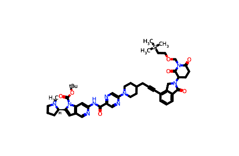 CN1CCC[C@@H]1c1cc2cnc(NC(=O)c3cnc(N4CCC(CC#Cc5cccc6c5CN(C5CCC(=O)N(COCC[Si](C)(C)C)C5=O)C6=O)CC4)cn3)cc2n1C(=O)OC(C)(C)C